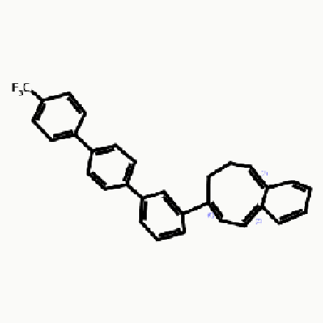 FC(F)(F)c1ccc(-c2ccc(-c3cccc(/C4=C/C=c5/cccc/c5=C/CC4)c3)cc2)cc1